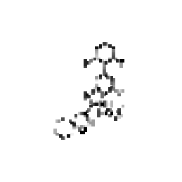 CS(=O)(=O)O.Fc1cccc(F)c1-c1cc(Cl)c2[nH]c(C3=NOC4(CCCCC4)C3)nc2c1